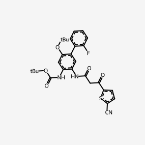 CC(C)(C)OC(=O)Nc1cc(OC(C)(C)C)c(-c2ccccc2F)cc1NC(=O)CC(=O)c1ccc(C#N)s1